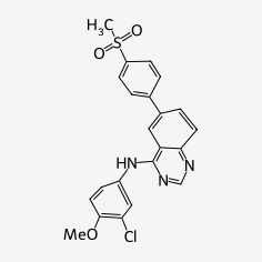 COc1ccc(Nc2ncnc3ccc(-c4ccc(S(C)(=O)=O)cc4)cc23)cc1Cl